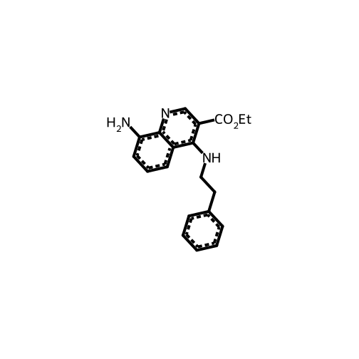 CCOC(=O)c1cnc2c(N)cccc2c1NCCc1ccccc1